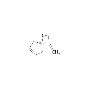 C=C[Si]1(C)CC=CC1